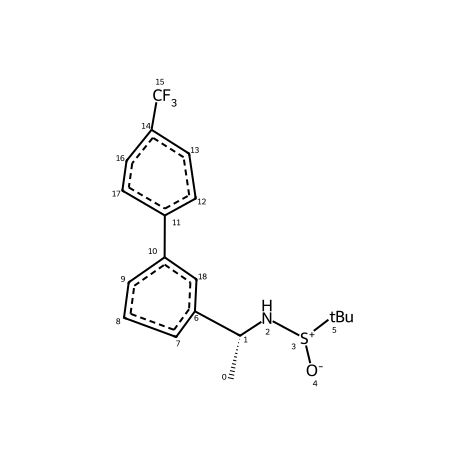 C[C@@H](N[S+]([O-])C(C)(C)C)c1cccc(-c2ccc(C(F)(F)F)cc2)c1